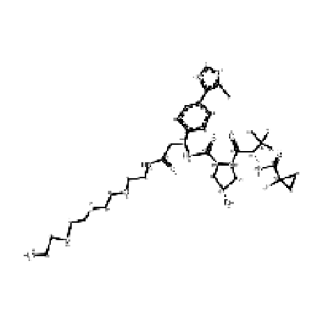 Cc1ncsc1-c1ccc([C@H](CC(=O)NCCOCCOCCOCCN)NC(=O)[C@@H]2C[C@@H](O)CN2C(=O)[C@@H](NC(=O)C2(F)CC2)C(C)(C)C)cc1